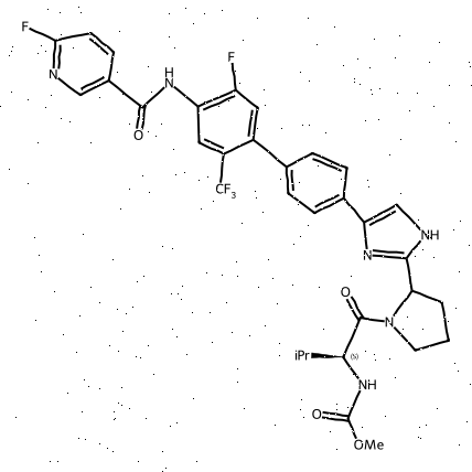 COC(=O)N[C@H](C(=O)N1CCCC1c1nc(-c2ccc(-c3cc(F)c(NC(=O)c4ccc(F)nc4)cc3C(F)(F)F)cc2)c[nH]1)C(C)C